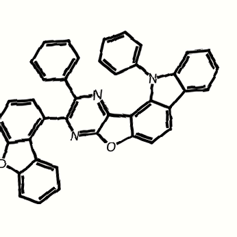 c1ccc(-c2nc3c(nc2-c2cccc4oc5ccccc5c24)oc2ccc4c5ccccc5n(-c5ccccc5)c4c23)cc1